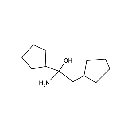 NC(O)(CC1CCCC1)C1CCCC1